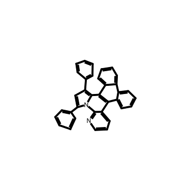 c1ccc(-c2cc(-c3ccccc3)n3c4ncccc4c4c5ccccc5c5ccccc5c4c23)cc1